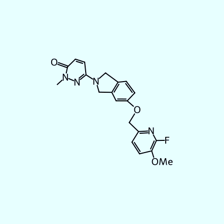 COc1ccc(COc2ccc3c(c2)CN(c2ccc(=O)n(C)n2)C3)nc1F